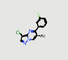 CC(=O)c1cn2ncc(Cl)c2nc1-c1cccc(F)c1